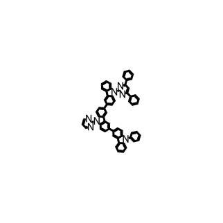 c1ccc(-c2cc(-c3ccccc3)nc(-n3c4ccccc4c4cc(-c5ccc6c(c5)c5cc(-c7ccc8c(c7)c7ccccc7n8-c7ccccc7)ccc5n6-c5ncccn5)ccc43)n2)cc1